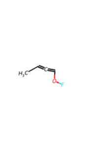 CC=C=COF